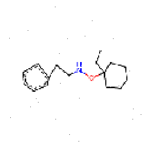 CCC1(ONCCc2ccccc2)CCCCC1